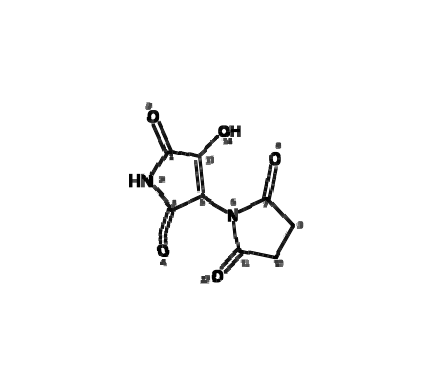 O=C1NC(=O)C(N2C(=O)CCC2=O)=C1O